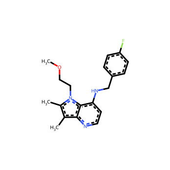 COCCn1c(C)c(C)c2nccc(NCc3ccc(F)cc3)c21